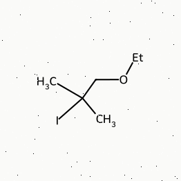 CCOCC(C)(C)I